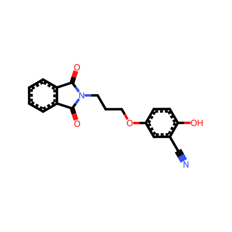 N#Cc1cc(OCCCN2C(=O)c3ccccc3C2=O)ccc1O